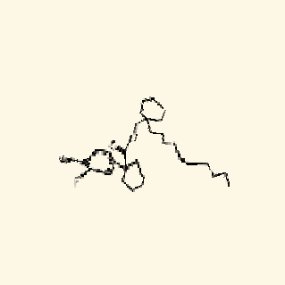 CCCCCCCCCC1(COC(=O)C2(c3ccc(C#N)c(F)c3)CCCCC2)CCCCC1